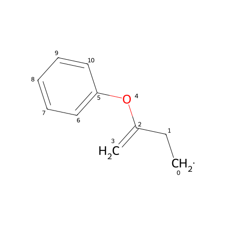 [CH2]CC(=C)Oc1ccccc1